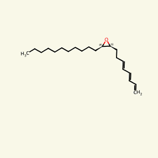 C=CC=CC=CCC[C@@H]1O[C@@H]1CCCCCCCCCCC